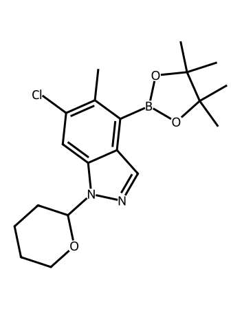 Cc1c(Cl)cc2c(cnn2C2CCCCO2)c1B1OC(C)(C)C(C)(C)O1